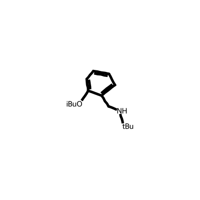 CC(C)COc1ccccc1CNC(C)(C)C